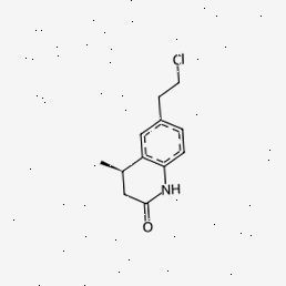 C[C@@H]1CC(=O)Nc2ccc(CCCl)cc21